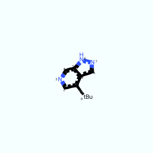 CC(C)(C)c1cncc2[nH]ncc12